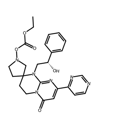 CCOC(=O)ON1CCC2(CCn3c(nc(-c4ccncn4)cc3=O)N2C[C@@H](O)c2ccccc2)C1